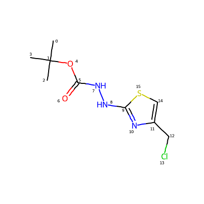 CC(C)(C)OC(=O)NNc1nc(CCl)cs1